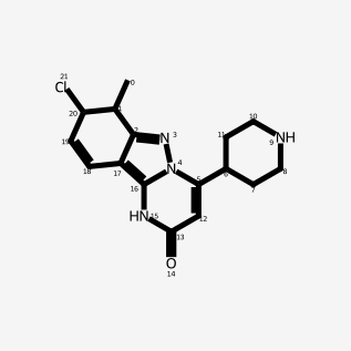 CC1c2nn3c(C4CCNCC4)cc(=O)[nH]c3c2C=CC1Cl